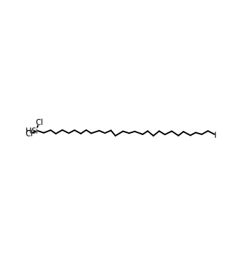 Cl[SiH](Cl)CCCCCCCCCCCCCCCCCCCCCCCCCCCCI